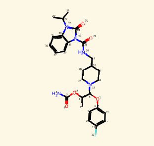 CC(OC(N)=O)C(Oc1ccc(F)cc1)N1CCC(CNC(=O)n2c(=O)n(C(C)C)c3ccccc32)CC1